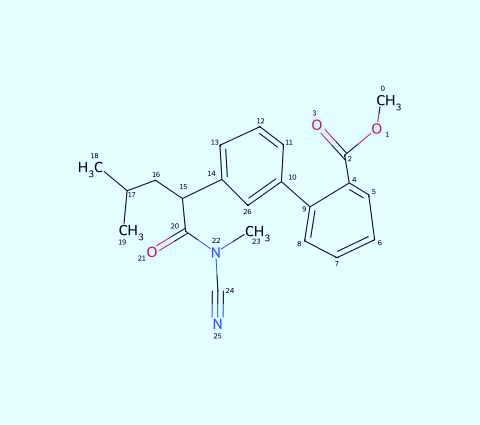 COC(=O)c1ccccc1-c1cccc(C(CC(C)C)C(=O)N(C)C#N)c1